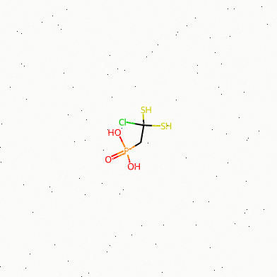 O=P(O)(O)CC(S)(S)Cl